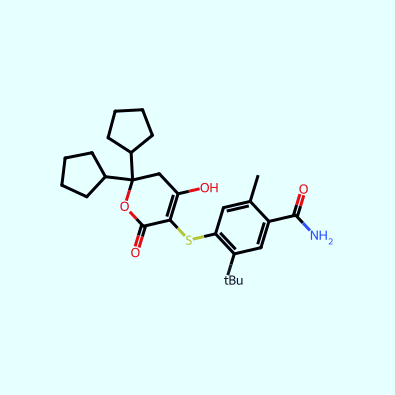 Cc1cc(SC2=C(O)CC(C3CCCC3)(C3CCCC3)OC2=O)c(C(C)(C)C)cc1C(N)=O